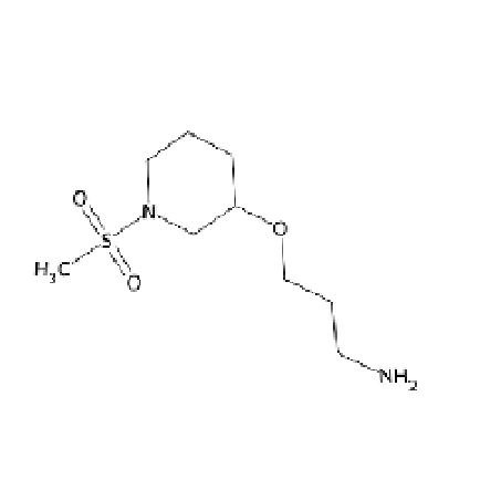 CS(=O)(=O)N1CCCC(OCCCN)C1